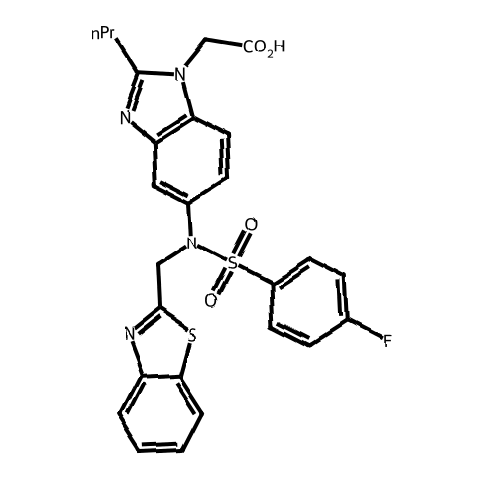 CCCc1nc2cc(N(Cc3nc4ccccc4s3)S(=O)(=O)c3ccc(F)cc3)ccc2n1CC(=O)O